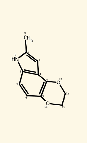 Cc1cc2c3c(ccc2[nH]1)OCCO3